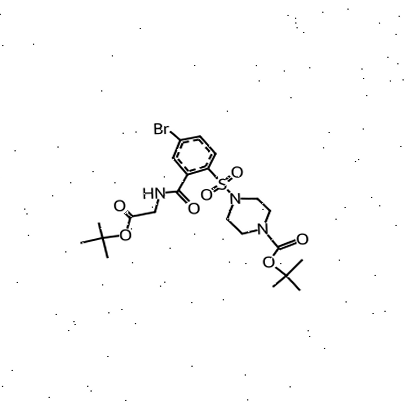 CC(C)(C)OC(=O)CNC(=O)c1cc(Br)ccc1S(=O)(=O)N1CCN(C(=O)OC(C)(C)C)CC1